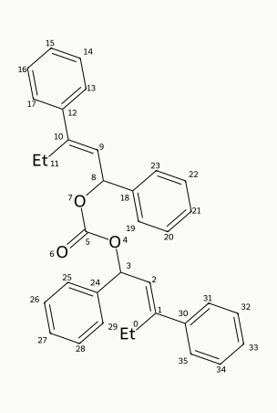 CCC(=CC(OC(=O)OC(C=C(CC)c1ccccc1)c1ccccc1)c1ccccc1)c1ccccc1